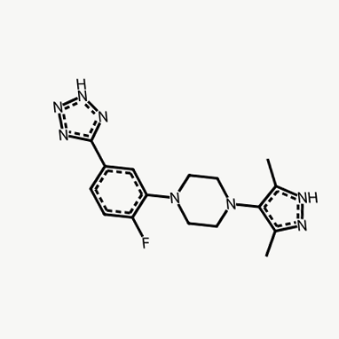 Cc1n[nH]c(C)c1N1CCN(c2cc(-c3nn[nH]n3)ccc2F)CC1